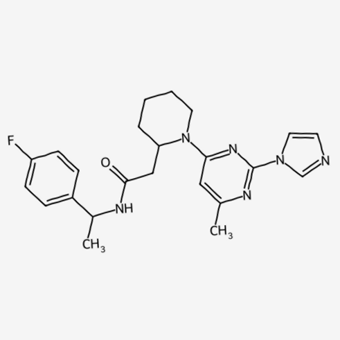 Cc1cc(N2CCCCC2CC(=O)NC(C)c2ccc(F)cc2)nc(-n2ccnc2)n1